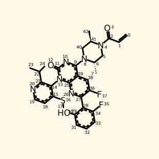 C=CC(=O)N1C[C@H](C)N(c2nc(=O)n(-c3c(SC)ccnc3C(C)C)c3nc(-c4c(O)cccc4F)c(F)cc23)C[C@H]1C